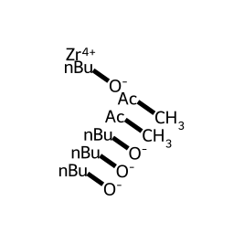 CC(C)=O.CC(C)=O.CCCC[O-].CCCC[O-].CCCC[O-].CCCC[O-].[Zr+4]